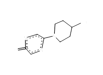 CC1CCN(c2c[nH]c(=O)cn2)CC1